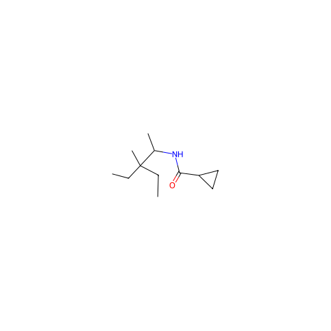 CCC(C)(CC)C(C)NC(=O)C1CC1